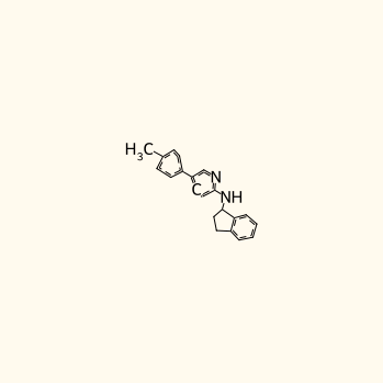 Cc1ccc(-c2ccc(NC3CCc4ccccc43)nc2)cc1